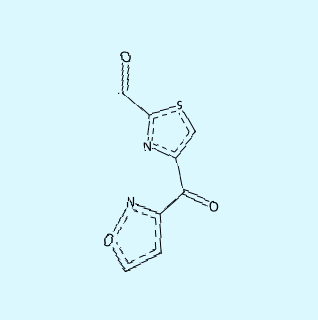 O=[C]c1nc(C(=O)c2ccon2)cs1